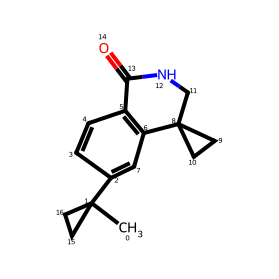 CC1(c2ccc3c(c2)C2(CC2)CNC3=O)CC1